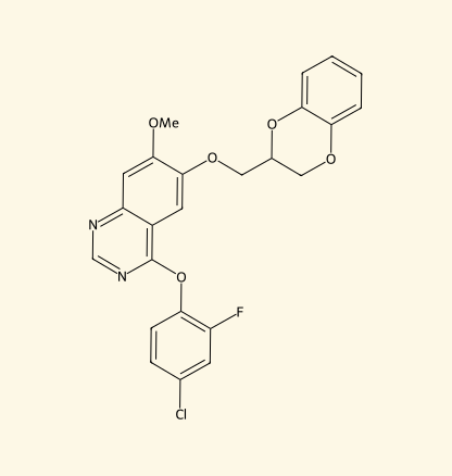 COc1cc2ncnc(Oc3ccc(Cl)cc3F)c2cc1OCC1COc2ccccc2O1